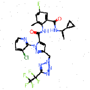 Cc1cc(F)cc(C(=O)NC(C)C2CC2)c1NC(=O)c1cc(Cn2nnc(C(F)(F)C(F)(F)F)n2)nn1-c1ncccc1Cl